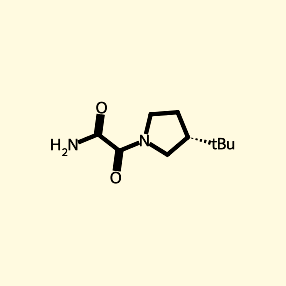 CC(C)(C)[C@H]1CCN(C(=O)C(N)=O)C1